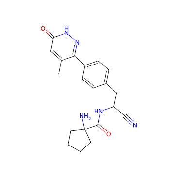 Cc1cc(=O)[nH]nc1-c1ccc(CC(C#N)NC(=O)C2(N)CCCC2)cc1